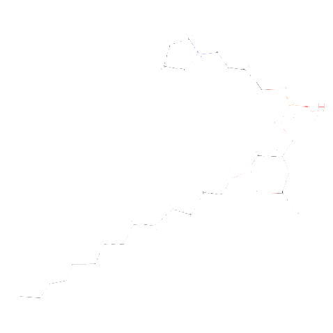 CCCCCCCCCCCCCCCOCC(COP(O)OCCCCN1CCCC1)CC(C)=O